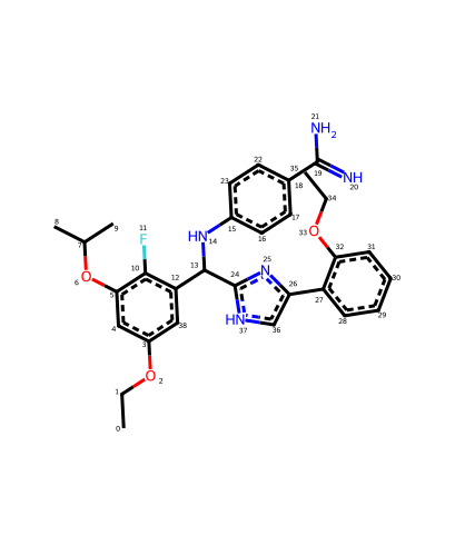 CCOc1cc(OC(C)C)c(F)c(C(Nc2ccc(C(=N)N)cc2)c2nc(-c3ccccc3OCC)c[nH]2)c1